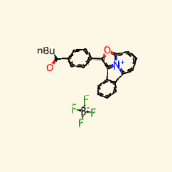 CCCCC(=O)c1ccc(-c2oc3cccc4[n+]3c2-c2ccccc2-4)cc1.F[B-](F)(F)F